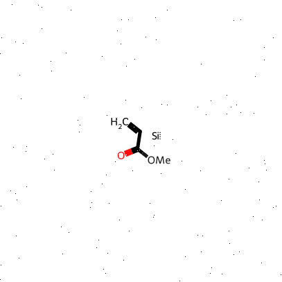 C=CC(=O)OC.[Si]